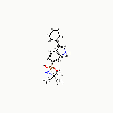 CC(C)(C)NS(=O)(=O)c1ccc2c(C3CCCCC3)c[nH]c2c1